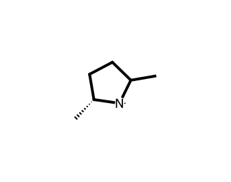 CC1CC[C@@H](C)[N]1